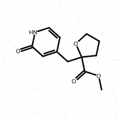 COC(=O)C1(Cc2cc[nH]c(=O)c2)CCCO1